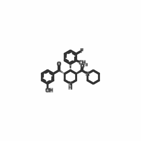 Cc1c(F)cccc1[C@H]1[C@@H](C(=O)c2cccc(O)c2)CNC[C@@H]1C(=O)N1CCCCC1